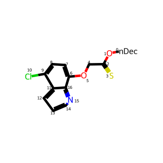 CCCCCCCCCCOC(=S)COc1ccc(Cl)c2cccnc12